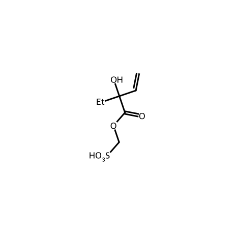 C=CC(O)(CC)C(=O)OCS(=O)(=O)O